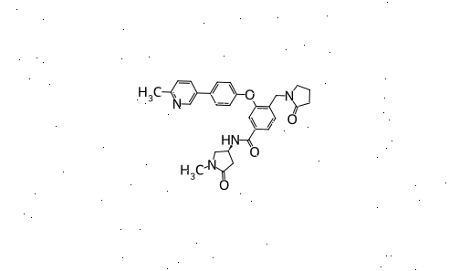 Cc1ccc(-c2ccc(Oc3cc(C(=O)N[C@H]4CC(=O)N(C)C4)ccc3CN3CCCC3=O)cc2)cn1